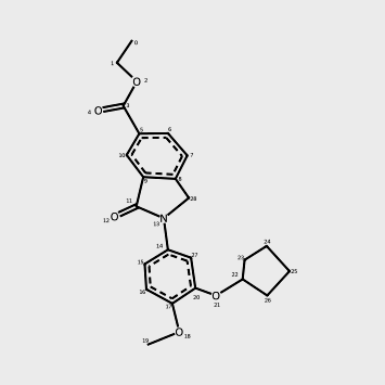 CCOC(=O)c1ccc2c(c1)C(=O)N(c1ccc(OC)c(OC3CCCC3)c1)C2